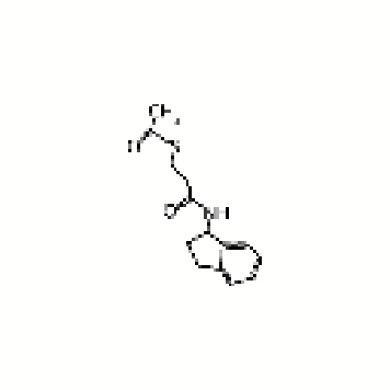 CC(=O)SCCC(=O)NC1CCc2ccccc21